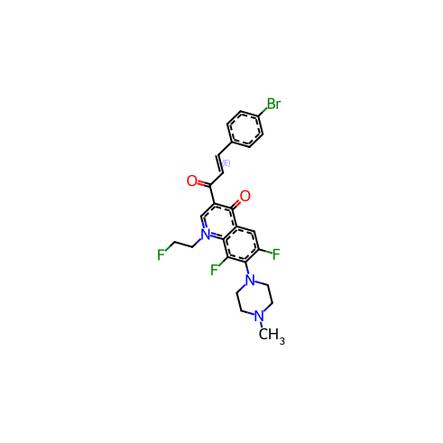 CN1CCN(c2c(F)cc3c(=O)c(C(=O)/C=C/c4ccc(Br)cc4)cn(CCF)c3c2F)CC1